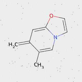 C=C1C=C2OC=CN2C=C1C